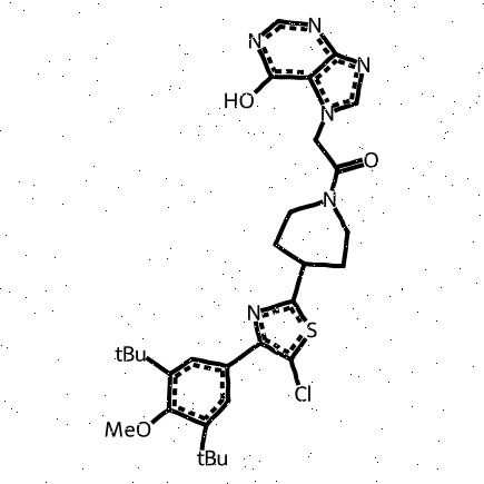 COc1c(C(C)(C)C)cc(-c2nc(C3CCN(C(=O)Cn4cnc5ncnc(O)c54)CC3)sc2Cl)cc1C(C)(C)C